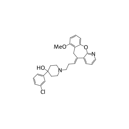 COc1cccc2c1CC(=CCCN1CCC(O)(c3cccc(Cl)c3)CC1)c1cccnc1O2